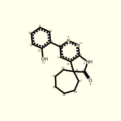 O=C1Nc2nnc(-c3ccccc3O)cc2C12CCCCCC2